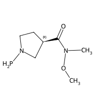 CON(C)C(=O)[C@@H]1CCN(P)C1